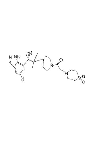 CC(C)(C1CCN(C(=O)CN2CCS(=O)(=O)CC2)CC1)[C@H](O)c1cc(Cl)cc2cn[nH]c12